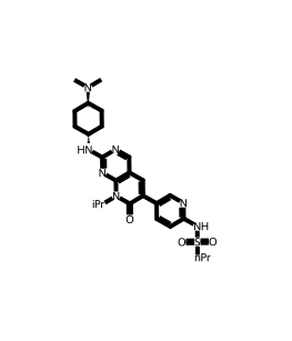 CCCS(=O)(=O)Nc1ccc(-c2cc3cnc(N[C@H]4CC[C@H](N(C)C)CC4)nc3n(C(C)C)c2=O)cn1